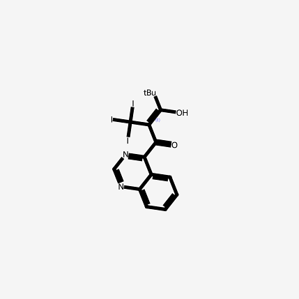 CC(C)(C)/C(O)=C(/C(=O)c1ncnc2ccccc12)C(I)(I)I